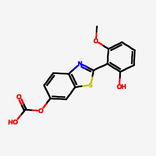 COc1cccc(O)c1-c1nc2ccc(OC(=O)O)cc2s1